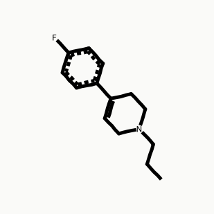 CCCN1CC=C(c2ccc(F)cc2)CC1